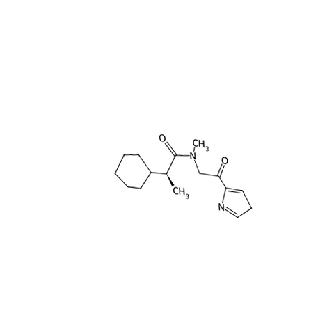 C[C@H](C(=O)N(C)CC(=O)C1=CCC=N1)C1CCCCC1